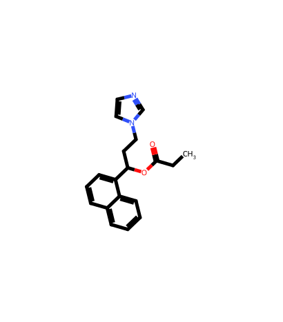 CCC(=O)OC(CCn1ccnc1)c1cccc2ccccc12